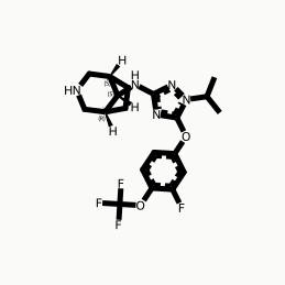 CC(C)n1nc(N[C@@H]2[C@@H]3CC[C@H]2CNC3)nc1Oc1ccc(OC(F)(F)F)c(F)c1